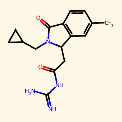 N=C(N)NC(=O)CC1c2cc(C(F)(F)F)ccc2C(=O)N1CC1CC1